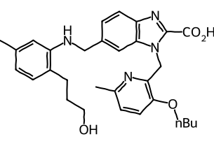 CCCCOc1ccc(C)nc1Cn1c(C(=O)O)nc2ccc(CNc3cc(C)ccc3CCCO)cc21